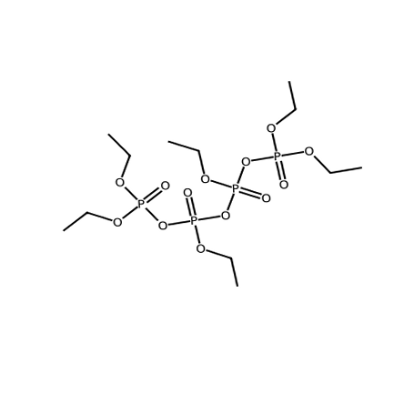 CCOP(=O)(OCC)OP(=O)(OCC)OP(=O)(OCC)OP(=O)(OCC)OCC